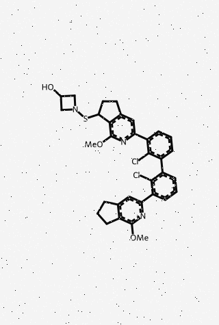 COc1nc(-c2cccc(-c3cccc(-c4cc5c(c(OC)n4)C(SN4CC(O)C4)CC5)c3Cl)c2Cl)cc2c1CCC2